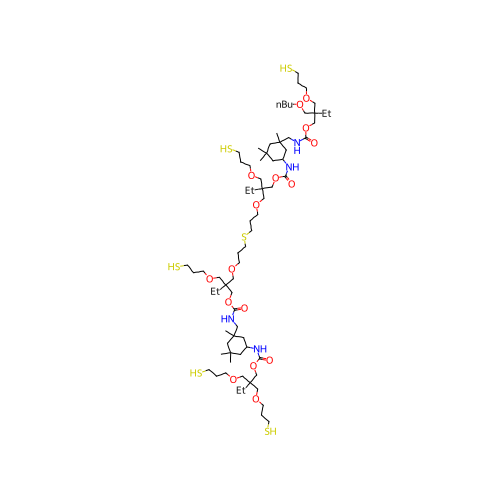 CCCCOCC(CC)(COCCCS)COC(=O)NCC1(C)CC(NC(=O)OCC(CC)(COCCCS)COCCCSCCCOCC(CC)(COCCCS)COC(=O)NCC2(C)CC(NC(=O)OCC(CC)(COCCCS)COCCCS)CC(C)(C)C2)CC(C)(C)C1